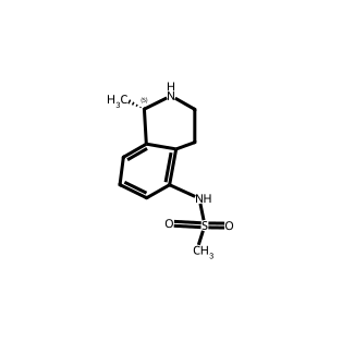 C[C@@H]1NCCc2c(NS(C)(=O)=O)cccc21